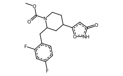 COC(=O)N1CCC(c2cc(=O)[nH]o2)CC1Cc1ccc(F)cc1F